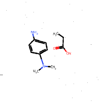 CCC(=O)O.CN(C)c1ccc(N)cc1